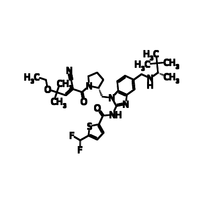 CCOC(C)(C)C=C(C#N)C(=O)N1CCC[C@@H]1Cn1c(NC(=O)c2ccc(C(F)F)s2)nc2cc(CN[C@@H](C)C(C)(C)C)ccc21